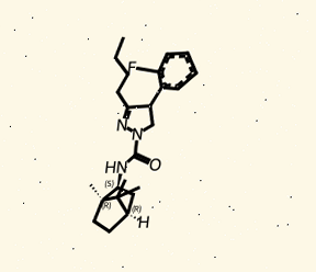 CCCCC1=NN(C(=O)N[C@H]2C[C@H]3CC[C@]2(C)C3(C)C)CC1c1ccccc1F